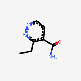 CCc1nnccc1C(N)=O